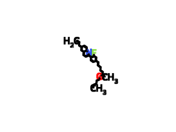 C=CCc1ccc2nc(-c3ccc(/C=C/CCCC(C)OCCCCC)cc3F)ccc2c1